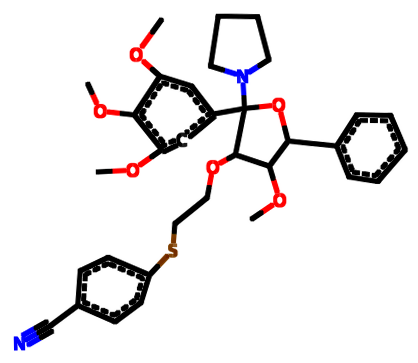 COc1cc(C2(N3CCCC3)OC(c3ccccc3)C(OC)C2OCCSc2ccc(C#N)cc2)cc(OC)c1OC